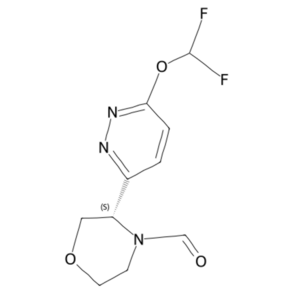 O=CN1CCOC[C@@H]1c1ccc(OC(F)F)nn1